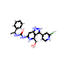 CC(NC(=O)Nc1cc2[nH]nc(-c3ccnc(F)c3)c2c(CO)n1)c1ccccc1